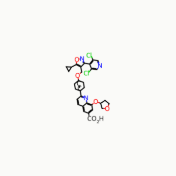 O=C(O)c1cc(OC2CCOC2)c2nc(C34CCC(OCc5c(-c6c(Cl)cncc6Cl)noc5C5CC5)(CC3)CC4)ccc2c1